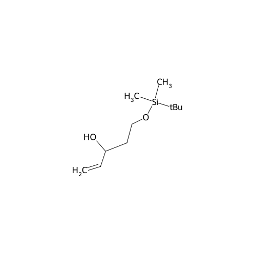 C=CC(O)CCO[Si](C)(C)C(C)(C)C